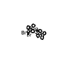 OB(Oc1ccc2c(c1)B(c1ccccc1)c1ccccc1[Si]21C=C(Br)C(Br)=C1)c1cccc2c1-c1ccccc1C21c2ccccc2-c2ccccc21